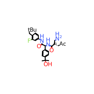 CC(=O)C[C@@H](CN)C(=O)NC(C(=O)Nc1ccc(CC(C)(C)C)c(F)c1)c1ccc(C(C)(C)O)cc1